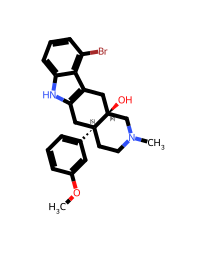 COc1cccc([C@@]23CCN(C)C[C@@]2(O)Cc2c([nH]c4cccc(Br)c24)C3)c1